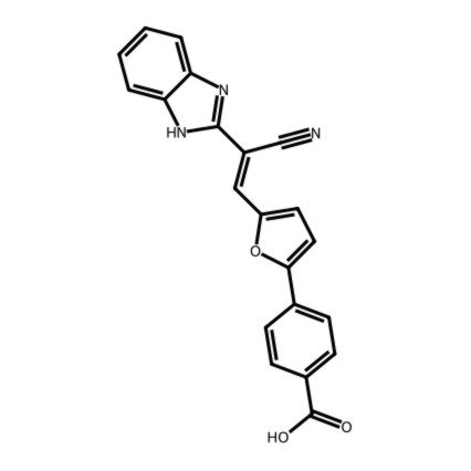 N#C/C(=C\c1ccc(-c2ccc(C(=O)O)cc2)o1)c1nc2ccccc2[nH]1